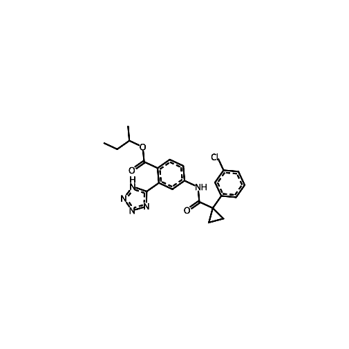 CCC(C)OC(=O)c1ccc(NC(=O)C2(c3cccc(Cl)c3)CC2)cc1-c1nnn[nH]1